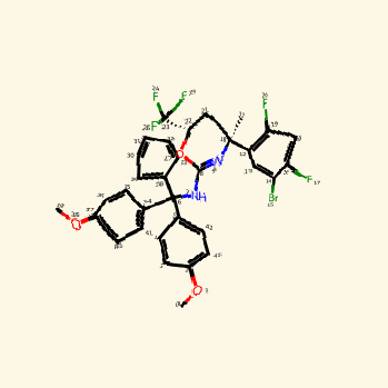 COc1ccc(C(NC2=N[C@](C)(c3cc(Br)c(F)cc3F)C[C@@H](C(F)(F)F)O2)(c2ccccc2)c2ccc(OC)cc2)cc1